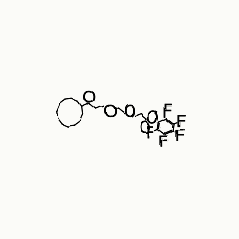 O=C(CCOCCOCCC(=O)C1CCCCCCCCCCC1)Oc1c(F)c(F)c(F)c(F)c1F